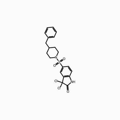 O=C1Nc2ccc(S(=O)(=O)N3CCC(Cc4ccccc4)CC3)cc2C1(Cl)Cl